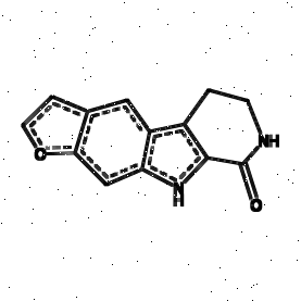 O=C1NCCc2c1[nH]c1cc3occc3cc21